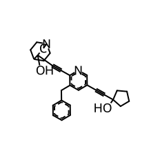 OC1(C#Cc2cnc(C#CC3(O)CN4CCC3CC4)c(Cc3ccccc3)c2)CCCC1